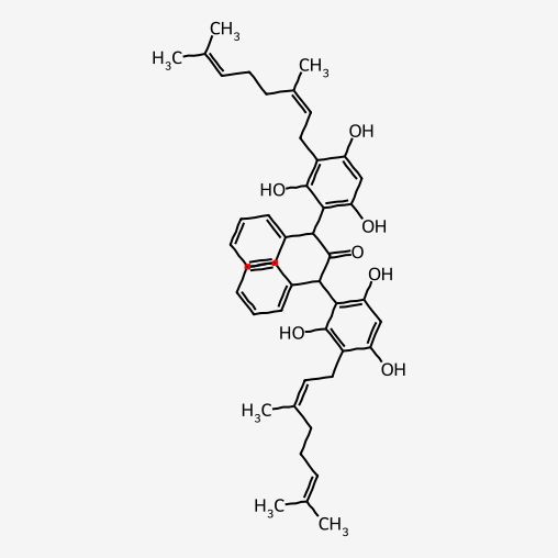 CC(C)=CCCC(C)=CCc1c(O)cc(O)c(C(C(=O)C(c2ccccc2)c2c(O)cc(O)c(CC=C(C)CCC=C(C)C)c2O)c2ccccc2)c1O